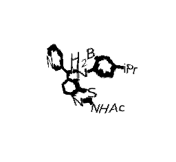 Bc1cc(C(C)C)ccc1-n1nc(-c2cccnc2)c2c1-c1sc(NC(C)=O)nc1CC2